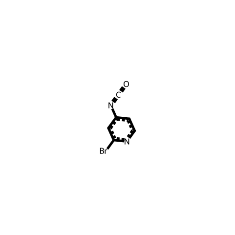 O=C=Nc1ccnc(Br)c1